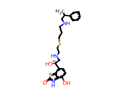 CC(CNCCCSCCNC[C@H](O)c1ccc(O)c2[nH]c(=O)sc12)c1ccccc1